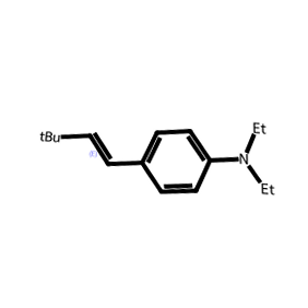 CCN(CC)c1ccc(/C=C/C(C)(C)C)cc1